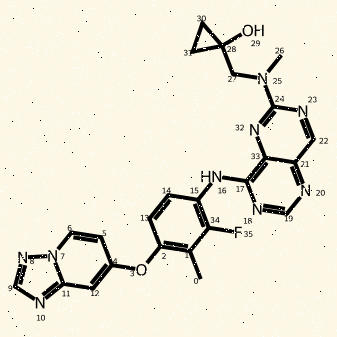 Cc1c(Oc2ccn3ncnc3c2)ccc(Nc2ncnc3cnc(N(C)CC4(O)CC4)nc23)c1F